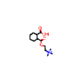 C[N+](C)(C)CCOC(=O)C1CCCCC1C(=O)O